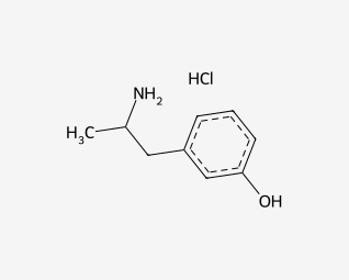 CC(N)Cc1cccc(O)c1.Cl